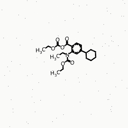 CCOC(=O)OC(=O)c1ccc(C2CCCCC2)cc1N(CC)C(=O)OCC